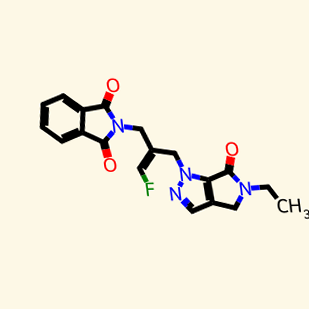 CCN1Cc2cnn(CC(=CF)CN3C(=O)c4ccccc4C3=O)c2C1=O